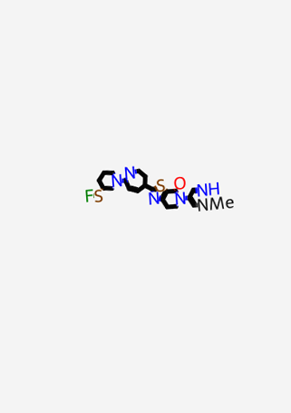 CN/C=C(\C=N)N1CCc2nc(C3C=CC(N4CCCC(SF)C4)=NCC3)sc2C1=O